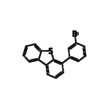 [B]c1cccc(-c2cccc3c2sc2ccccc23)c1